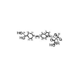 CC(CCn1ccc2cc(C#Cc3ccc([C@@H](O)CO)cc3)ccc21)(C(=O)NO)S(C)(=O)=O